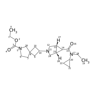 CCOC(=O)N1CCC2(CC(N3C[C@@H]4C(C(=O)N(CC)C5CC5)[C@@H]4C3)C2)C1